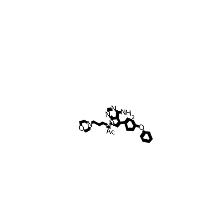 CC(=O)N(CCCN1CCOCC1)n1cc(-c2ccc(Oc3ccccc3)cc2)c2c(N)ncnc21